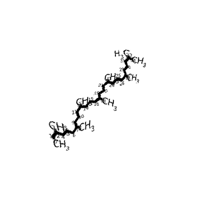 CCC(C)CCCC(C)CCCC(C)CCCC(C)CCCC(C)CCCC(C)CCCC(C)C